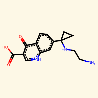 NCCNC1(c2ccc3c(=O)c(C(=O)O)c[nH]c3c2)CC1